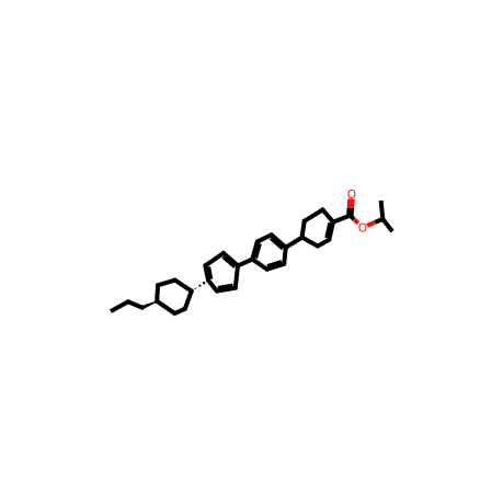 CCC[C@H]1CC[C@H](c2ccc(-c3ccc(C4CC=C(C(=O)OC(C)C)CC4)cc3)cc2)CC1